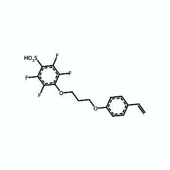 C=Cc1ccc(OCCCOc2c(F)c(F)c(S(=O)(=O)O)c(F)c2F)cc1